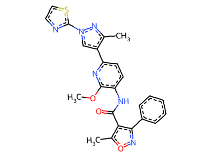 COc1nc(-c2cn(-c3nccs3)nc2C)ccc1NC(=O)c1c(-c2ccccc2)noc1C